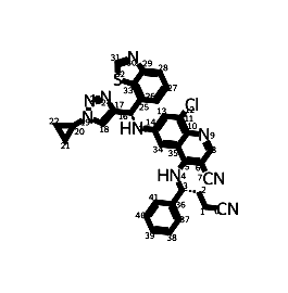 N#CCC[C@@H](Nc1c(C#N)cnc2c(Cl)cc(N[C@H](c3cn(C4CC4)nn3)c3cccc4ncsc34)cc12)c1ccccc1